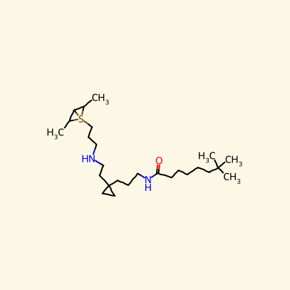 CC1C2C(C)S12CCCNCCC1(CCCNC(=O)CCCCCC(C)(C)C)CC1